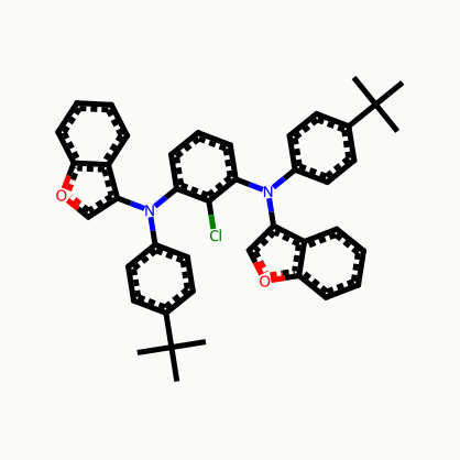 CC(C)(C)c1ccc(N(c2cccc(N(c3ccc(C(C)(C)C)cc3)c3coc4ccccc34)c2Cl)c2coc3ccccc23)cc1